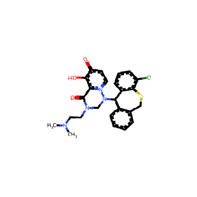 CN(C)CCN1CN(C2c3ccccc3CSc3c(Cl)cccc32)n2ccc(=O)c(O)c2C1=O